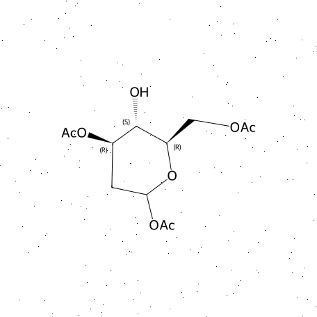 CC(=O)OC[C@H]1OC(OC(C)=O)C[C@@H](OC(C)=O)[C@@H]1O